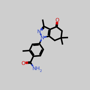 Cc1cc(-n2nc(C)c3c2CC(C)(C)CC3=O)ccc1C(N)=O